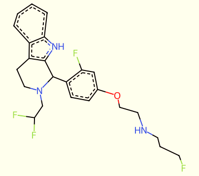 FCCCNCCOc1ccc(C2c3[nH]c4ccccc4c3CCN2CC(F)F)c(F)c1